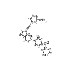 Nc1cc(C#Cc2cnn3ccc(-c4ccc(C(=O)N5CCOCC5)cc4F)nc23)ccn1